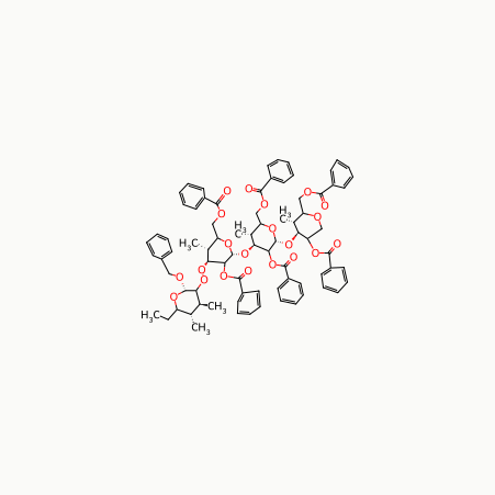 CCC1O[C@H](OCc2ccccc2)C(OO[C@@H]2C(OC(=O)c3ccccc3)[C@@H](O[C@@H]3C(OC(=O)c4ccccc4)[C@@H](O[C@@H]4C(OC(=O)c5ccccc5)COC(COC(=O)c5ccccc5)[C@H]4C)OC(COC(=O)c4ccccc4)[C@H]3C)OC(COC(=O)c3ccccc3)[C@H]2C)[C@@H](C)[C@@H]1C